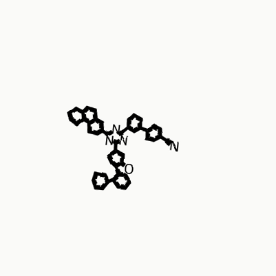 N#Cc1ccc(-c2cccc(-c3nc(-c4ccc5c(ccc6ccccc65)c4)nc(-c4ccc5c(c4)oc4cccc(-c6ccccc6)c45)n3)c2)cc1